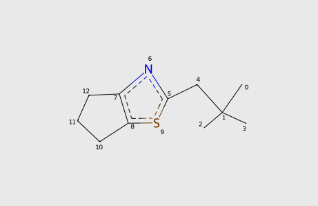 CC(C)(C)Cc1nc2c(s1)CCC2